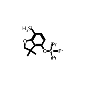 CC(C)[Si](Oc1ccc([SiH3])c2c1C(C)(C)CO2)(C(C)C)C(C)C